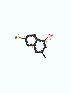 Cc1cc(O)c2ccc(Br)cc2c1